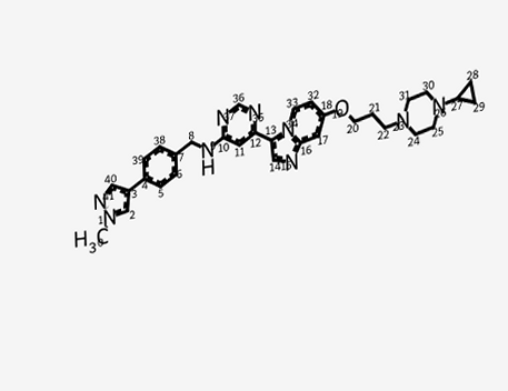 Cn1cc(-c2ccc(CNc3cc(-c4cnc5cc(OCCCN6CCN(C7CC7)CC6)ccn45)ncn3)cc2)cn1